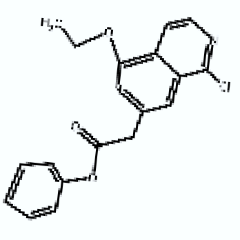 CCOc1nc(CC(=O)Oc2ccccc2)cc2c(Cl)nccc12